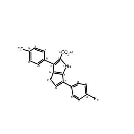 O=C(O)c1[nH]c2c(-c3ccc(F)cc3)csc2c1-c1ccc(F)cc1